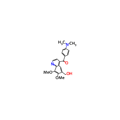 COc1c(CO)cc2c(C(=O)c3ccc(N(C)C)cc3)ccnc2c1OC